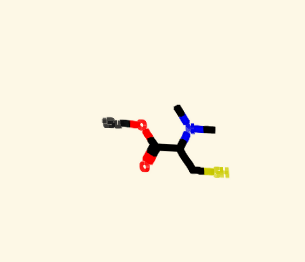 CN(C)C(CS)C(=O)OC(C)(C)C